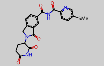 CSc1ccc(C(=O)NC(=O)c2ccc3c(c2)C(=O)N(C2CCC(=O)NC2=O)C3)nc1